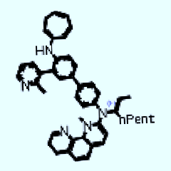 C/C=C(\CCCCC)N(C1=CC=C2C=CC3=C(N=CCC3)C2N1C)c1ccc(-c2ccc(NC3=CCC=CC=C3)c(-c3cccnc3C)c2)cc1